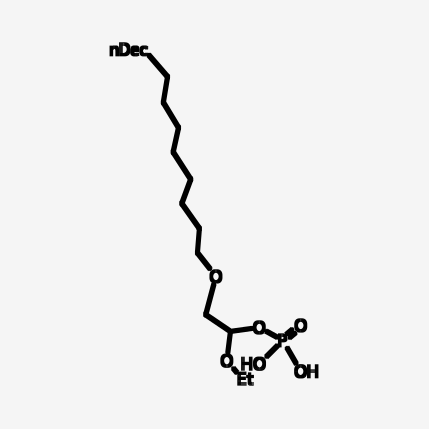 CCCCCCCCCCCCCCCCCCOCC(OCC)OP(=O)(O)O